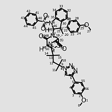 COc1ccc(-c2cn(C(C)(C)CC(C)(C)N3C(=O)[C@@]45C[C@]6(c7ccc(OC)cc7)c7ccccc7N(S(=O)(=O)c7ccccc7)[C@@H]6N4C(=O)[C@@H]3SS5)nn2)cc1